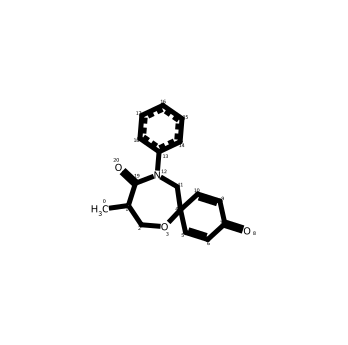 CC1COC2(C=CC(=O)C=C2)CN(c2ccccc2)C1=O